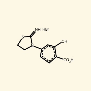 Br.N=C1SCCN1c1ccc(C(=O)O)c(O)c1